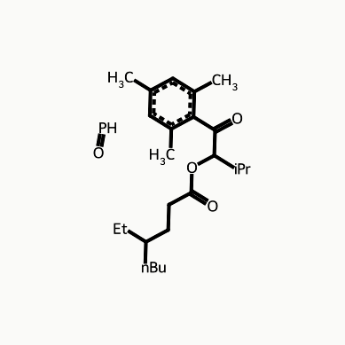 CCCCC(CC)CCC(=O)OC(C(=O)c1c(C)cc(C)cc1C)C(C)C.O=P